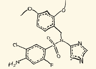 COc1ccc(CN(c2ncns2)S(=O)(=O)c2cc(Cl)c(N)cc2F)c(OC)c1